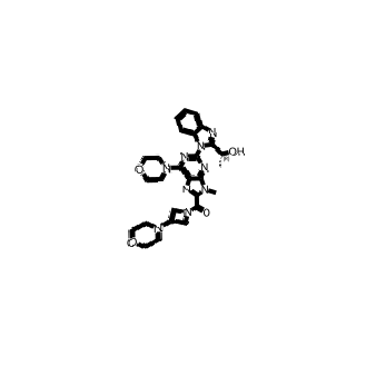 C[C@@H](O)c1nc2ccccc2n1-c1nc(N2CCOCC2)c2nc(C(=O)N3CC(N4CCOCC4)C3)n(C)c2n1